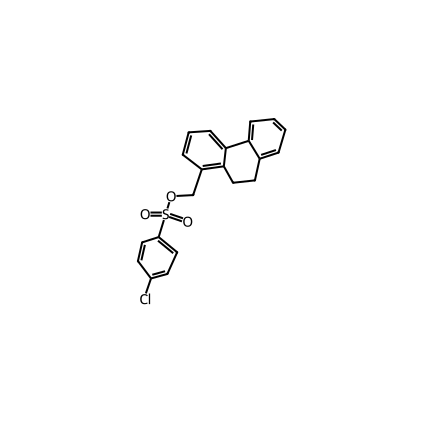 O=S(=O)(OCc1cccc2c1CCc1ccccc1-2)c1ccc(Cl)cc1